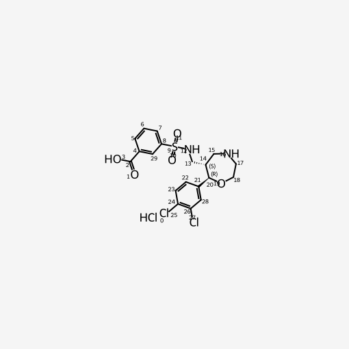 Cl.O=C(O)c1cccc(S(=O)(=O)NC[C@@H]2CNCCO[C@H]2c2ccc(Cl)c(Cl)c2)c1